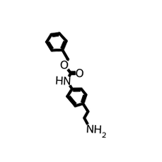 NCCc1ccc(NC(=O)OCc2ccccc2)cc1